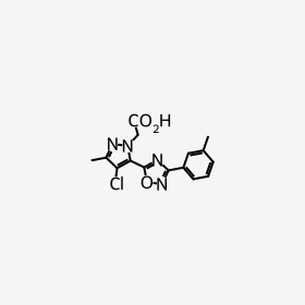 Cc1cccc(-c2noc(-c3c(Cl)c(C)nn3CC(=O)O)n2)c1